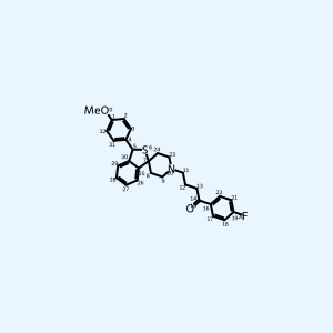 COc1ccc(C2SC3(CCN(CCCC(=O)c4ccc(F)cc4)CC3)c3ccccc32)cc1